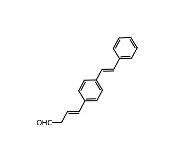 O=CC/C=C/c1ccc(C=Cc2ccccc2)cc1